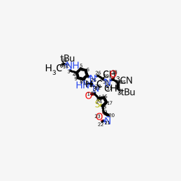 C[C@H](NCc1ccc2c(c1)[nH]c(=NC(=O)c1ccc(-c3cnco3)s1)n2CC(C)(C)N(C)C(=O)C(C#N)=CC(C)(C)C)C(C)(C)C